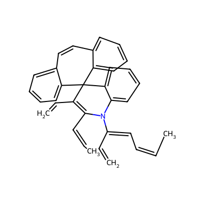 C=CC1=C(/C=C\C)N(/C(C=C)=C/C=C\C)c2ccccc2C12c1ccccc1C=Cc1ccccc12